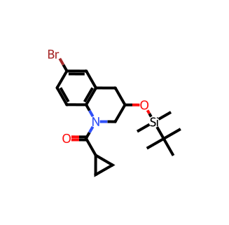 CC(C)(C)[Si](C)(C)OC1Cc2cc(Br)ccc2N(C(=O)C2CC2)C1